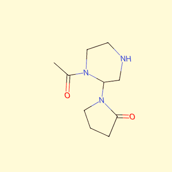 CC(=O)N1CCNCC1N1CCCC1=O